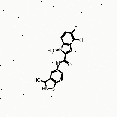 Cn1c(C(=O)Nc2ccc3c(c2)C(O)NS3)cc2c(Cl)c(F)ccc21